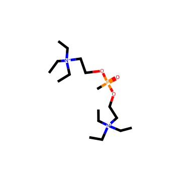 CC[N+](CC)(CC)CCOP(C)(=O)OCC[N+](CC)(CC)CC